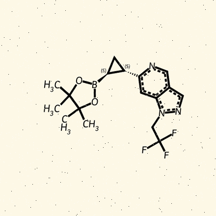 CC1(C)OB([C@H]2C[C@@H]2c2cc3c(cn2)cnn3CC(F)(F)F)OC1(C)C